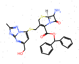 Cc1nc2nc(CO)cc(SCC3=C(C(=O)OC(c4ccccc4)c4ccccc4)N4C(=O)C(N)[C@@H]4SC3)n2n1